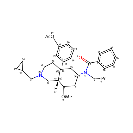 COC1C[C@@H](N(CC(C)C)C(=O)c2ccccc2)C[C@]2(c3cccc(OC(C)=O)c3)CCN(CC3CC3)C[C@@H]12